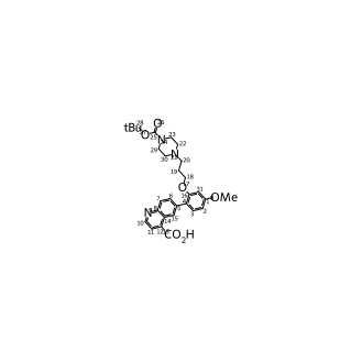 COc1ccc(-c2ccc3nccc(C(=O)O)c3c2)c(OCCCN2CCN(C(=O)OC(C)(C)C)CC2)c1